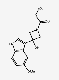 CCCCOC(=O)N1CC(O)(c2c[nH]c3ccc(OC)cc23)C1